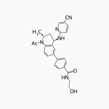 CC(=O)N1c2ccc(-c3ccc(C(=O)NCCO)cc3)cc2[C@H](Nc2ccc(C#N)cn2)C[C@@H]1C